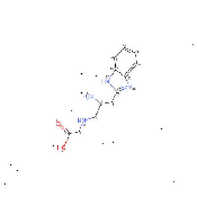 NC(CNCC(=O)O)Cc1nc2ccccc2[nH]1